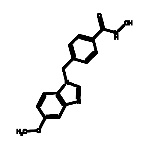 COc1ccc2c(c1)ncn2Cc1ccc(C(=O)NO)cc1